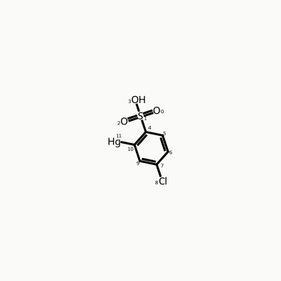 O=S(=O)(O)c1ccc(Cl)c[c]1[Hg]